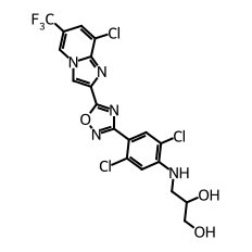 OCC(O)CNc1cc(Cl)c(-c2noc(-c3cn4cc(C(F)(F)F)cc(Cl)c4n3)n2)cc1Cl